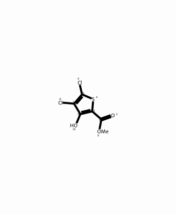 COC(=O)c1sc(Cl)c(Cl)c1O